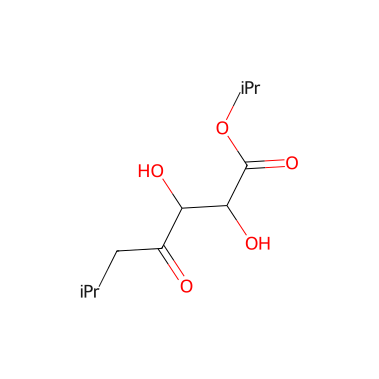 CC(C)CC(=O)C(O)C(O)C(=O)OC(C)C